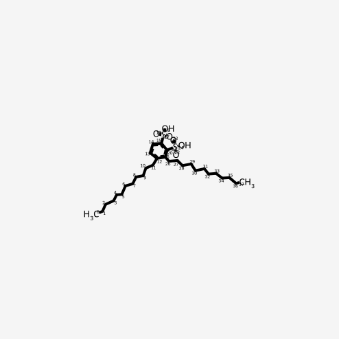 CCCCCCCCCCCCc1ccc(S(=O)(=O)O)c(S(=O)(=O)O)c1CCCCCCCCCCCC